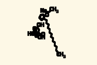 CCCCCCCCCCCCCCCCc1ccccc1O[CH]([Na])CC.O=C(O)CC(C(=O)O)S(=O)(=O)O